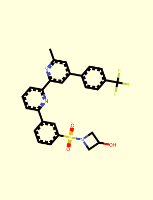 Cc1cc(-c2ccc(C(F)(F)F)cc2)cc(-c2cccc(-c3cccc(S(=O)(=O)N4CC(O)C4)c3)n2)n1